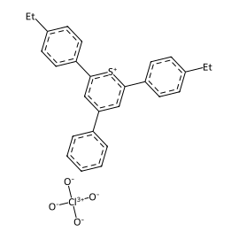 CCc1ccc(-c2cc(-c3ccccc3)cc(-c3ccc(CC)cc3)[s+]2)cc1.[O-][Cl+3]([O-])([O-])[O-]